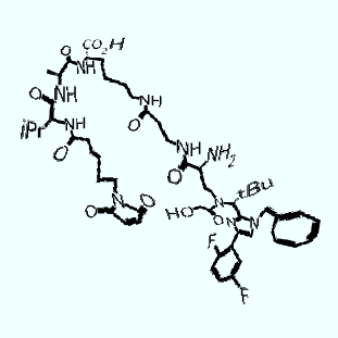 CC(C)[C@H](NC(=O)CCCCCN1C(=O)C=CC1=O)C(=O)N[C@@H](C)C(=O)N[C@@H](CCCCNC(=O)CCNC(=O)[C@@H](N)CCN(C(=O)CO)[C@@H](c1nc(-c2cc(F)ccc2F)cn1Cc1ccccc1)C(C)(C)C)C(=O)O